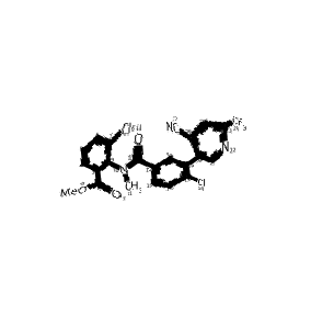 COC(=O)c1cccc(Cl)c1N(C)C(=O)c1ccc(Cl)c(-c2cnc(C(F)(F)F)cc2C#N)c1